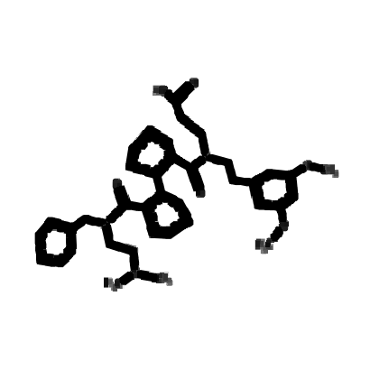 COc1cc(CCN(CCC(=O)O)C(=O)c2ccccc2-c2ccccc2C(=O)N(CCN(C)C)Cc2ccccc2)cc(OC)c1